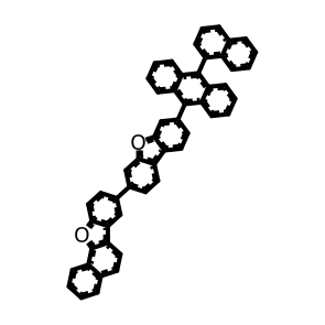 c1ccc2c(-c3c4ccccc4c(-c4ccc5c(c4)oc4cc(-c6ccc7oc8c9ccccc9ccc8c7c6)ccc45)c4ccccc34)cccc2c1